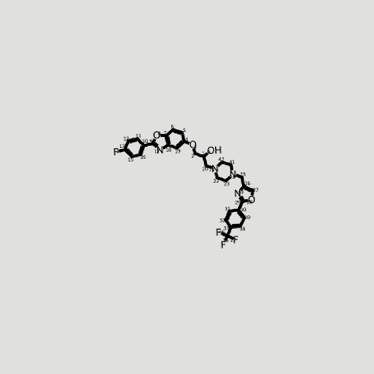 OC(COc1ccc2oc(-c3ccc(F)cc3)nc2c1)CN1CCN(Cc2coc(-c3ccc(C(F)(F)F)cc3)n2)CC1